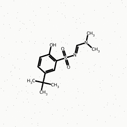 CN(C)C=NS(=O)(=O)c1cc(C(C)(C)C)ccc1O